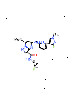 CNc1cc(Nc2cccc(-c3cn(C)nc3F)n2)nc2c(C(=O)N[C@@H]3C[C@@H]3F)cnn12